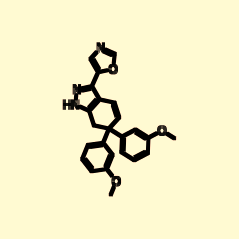 COc1cccc(C2(c3cccc(OC)c3)C=Cc3c(-c4cnco4)n[nH]c3C2)c1